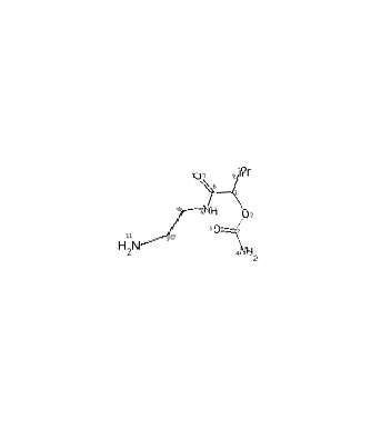 CC(C)C(OC(N)=O)C(=O)NCCN